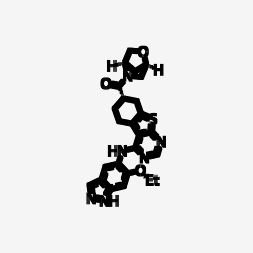 CCOc1cc2[nH]ncc2cc1Nc1ncnc2sc3c(c12)CC[C@H](C(=O)N1C[C@H]2C[C@@H]1CO2)C3